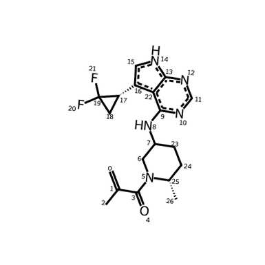 C=C(C)C(=O)N1CC(Nc2ncnc3[nH]cc([C@@H]4CC4(F)F)c23)CC[C@@H]1C